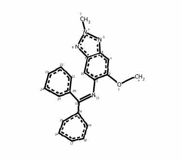 COc1cc2nn(C)nc2cc1N=C(c1ccccc1)c1ccccc1